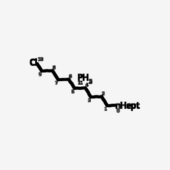 CCCCCCCCCCCCCCCCCl.P